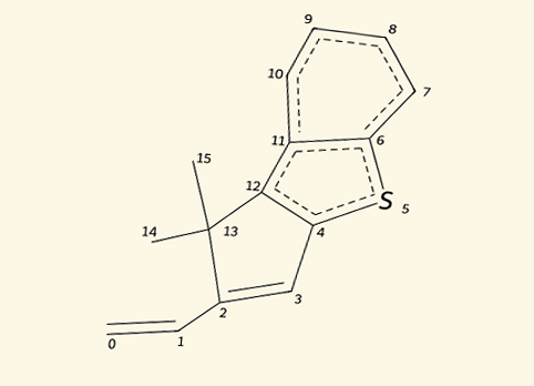 C=CC1=Cc2sc3ccccc3c2C1(C)C